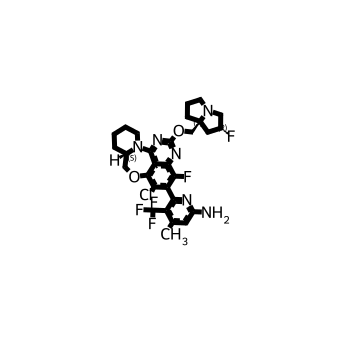 Cc1cc(N)nc(-c2c(Cl)c3c4c(nc(OC[C@@]56CCCN5C[C@H](F)C6)nc4c2F)N2CCCC[C@H]2CO3)c1C(F)(F)F